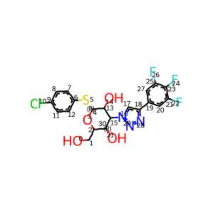 OCC1O[C@H](Sc2ccc(Cl)cc2)C(O)C(n2cc(-c3cc(F)c(F)c(F)c3)nn2)[C@H]1O